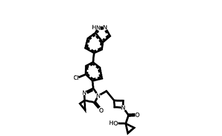 O=C(N1CC(CN2C(=O)C3(CC3)N=C2c2ccc(-c3ccc4[nH]ncc4c3)cc2Cl)C1)C1(O)CC1